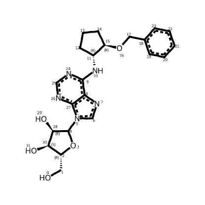 OC[C@H]1OC(n2cnc3c(N[C@@H]4CCC[C@H]4OCc4ccccc4)ncnc32)[C@H](O)[C@@H]1O